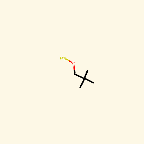 CC(C)(C)COS